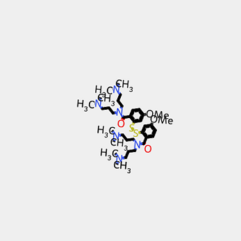 COc1ccc(C(=O)N(CCCN(C)C)CCCN(C)C)c(SSc2cc(OC)ccc2C(=O)N(CCCN(C)C)CCCN(C)C)c1